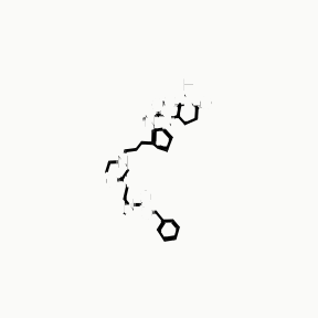 CN(CC[C@@H]1CN(CCCc2cccc3c2n(C)c(=O)n3C2CCC(=O)NC2=O)CCO1)C(=O)OCc1ccccc1